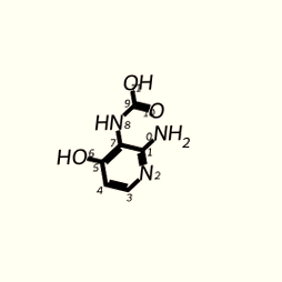 Nc1nccc(O)c1NC(=O)O